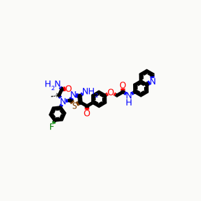 C[C@H](C(N)=O)N(c1ccc(F)cc1)c1nc(N)c(C(=O)c2ccc(OCC(=O)Nc3ccc4ncccc4c3)cc2)s1